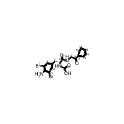 Nc1c(Br)cc(C[C@@H](NC(=O)O)C(=O)NCC(=O)c2ccccc2)cc1Br